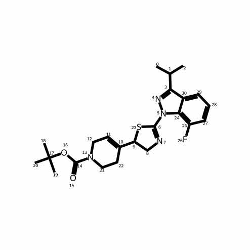 CC(C)c1nn(C2=NCC(C3=CCN(C(=O)OC(C)(C)C)CC3)S2)c2c(F)cccc12